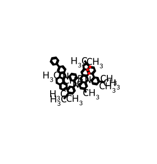 Cc1cc2c3c(c1)N(c1ccc(C(C)(C)C)cc1-c1ccccc1)c1cc4c(cc1B3c1ccc(N3c5ccc(-c6ccccc6)cc5C5(C)CCc6ccccc6C35C)cc1N2c1ccc(C(C)(C)C)cc1)CC(C)(C)C4